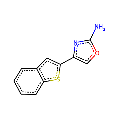 Nc1nc(-c2cc3ccccc3s2)co1